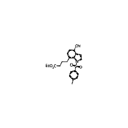 CCOC(=O)CCCc1ccc(C#N)c2ccn(S(=O)(=O)c3ccc(C)cc3)c12